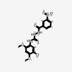 COc1cc(OC)c(NC(=S)NNC(=O)c2cccc([N+](=O)[O-])c2)cc1Cl